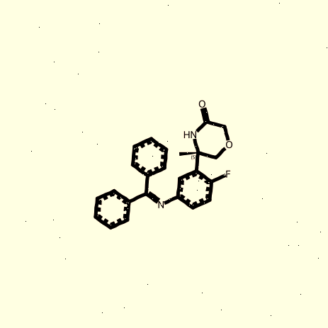 C[C@]1(c2cc(N=C(c3ccccc3)c3ccccc3)ccc2F)COCC(=O)N1